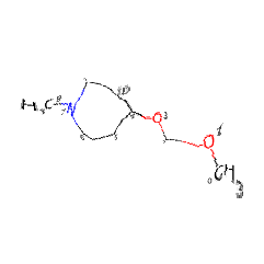 COCOC1CCN(C)CC1